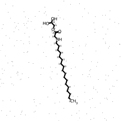 CCCCCCCCCCCCCCCCCCNCC(=O)OCC(O)O